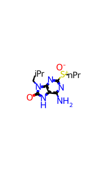 CCC[S+]([O-])c1nc(N)c2[nH]c(=O)n(CC(C)C)c2n1